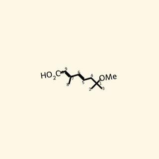 COC(C)(C)C/C=C/C(C)=C/C(=O)O